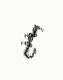 CCCCC/C=C\C/C=C\C/C=C\CCCCCCC(=O)NCCOCCNC(=O)CCOCCN